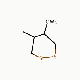 COC1CSSCC1C